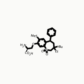 CCCCC1(CC)CC(c2ccccc2)c2cc(SC)c(OC[C@H](N)C(=O)O)cc2S(=O)(=O)C1